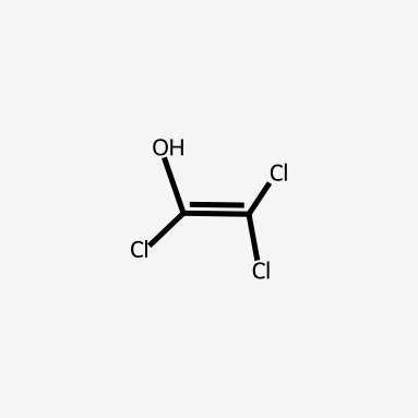 OC(Cl)=C(Cl)Cl